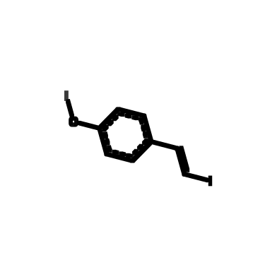 I/C=C/c1ccc(OI)cc1